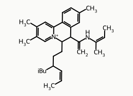 C=C(N/C(C)=C\C)C1c2cc(C)ccc2-c2cc(C)c(C)c[n+]2C1CCC(/C=C\C)C(C)CC